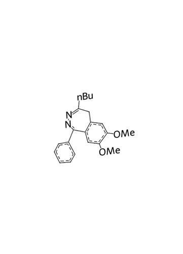 CCCCC1=NN=C(c2ccccc2)c2cc(OC)c(OC)cc2C1